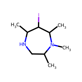 CC1NCC(C)N(C)C(C)C1I